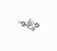 O=C(O)c1ccccc1-n1cnc(Cn2nc(-c3ccc(Cl)cc3)n(C[C@@H](O)C(F)(F)F)c2=O)n1